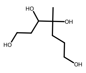 CC(O)(CCCO)C(O)CCO